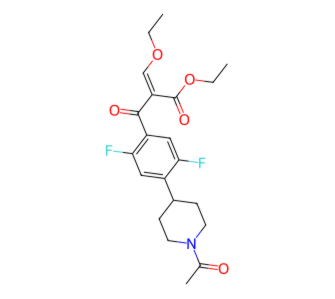 CCOC=C(C(=O)OCC)C(=O)c1cc(F)c(C2CCN(C(C)=O)CC2)cc1F